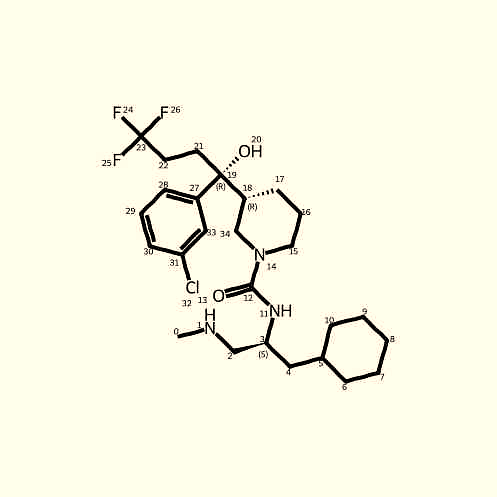 CNC[C@H](CC1CCCCC1)NC(=O)N1CCC[C@@H]([C@](O)(CCC(F)(F)F)c2cccc(Cl)c2)C1